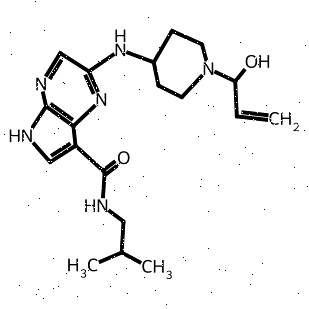 C=CC(O)N1CCC(Nc2cnc3[nH]cc(C(=O)NCC(C)C)c3n2)CC1